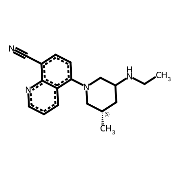 CCNC1C[C@H](C)CN(c2ccc(C#N)c3ncccc23)C1